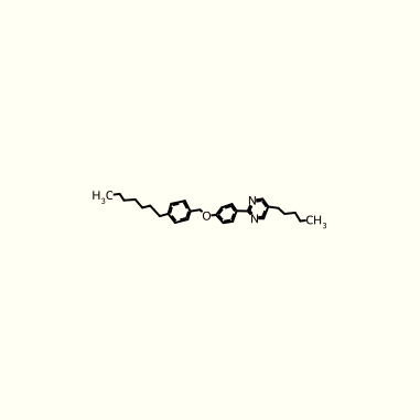 CCCCCCCc1ccc(COc2ccc(-c3ncc(CCCCC)cn3)cc2)cc1